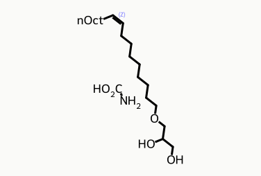 CCCCCCCC/C=C\CCCCCCCCOCC(O)CO.NC(=O)O